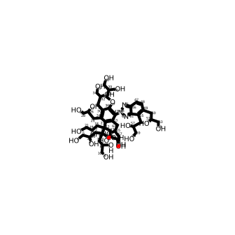 O=C(O)C(CC(O)CO)(CC(O)CO)C(CC(O)CO)(CC(O)CO)c1c(CC(O)CO)c(CC(O)CO)c(OCC(O)CO)c(-n2nc3ccc(CC(O)CO)c(CC(O)CO)c3n2)c1CC(O)CO